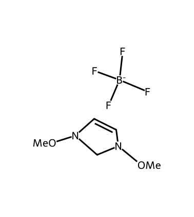 CON1C=CN(OC)C1.F[B-](F)(F)F